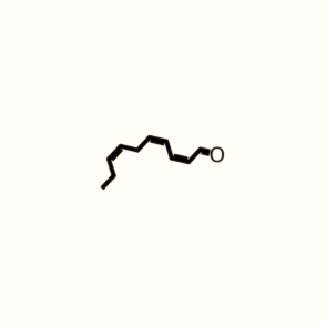 CC/C=C\C/C=C\C=C/C=O